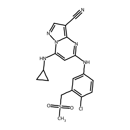 CS(=O)(=O)Cc1cc(Nc2cc(NC3CC3)n3ncc(C#N)c3n2)ccc1Cl